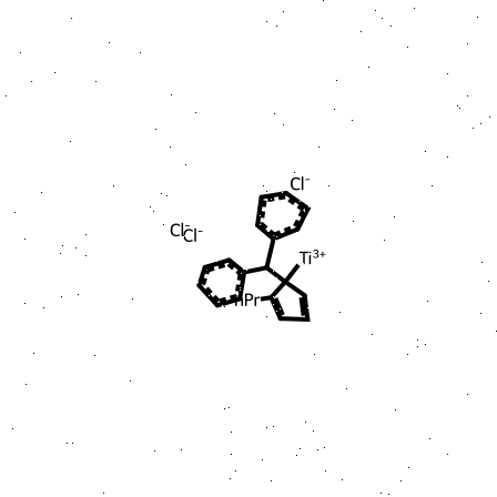 CCCC1=CC=C[C]1([Ti+3])C(c1ccccc1)c1ccccc1.[Cl-].[Cl-].[Cl-]